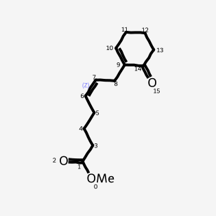 COC(=O)CCC/C=C\CC1=CCCCC1=O